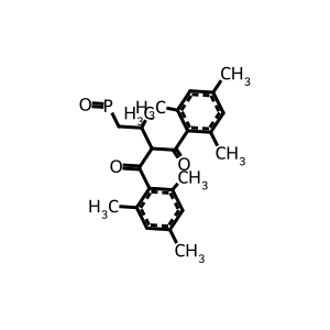 Cc1cc(C)c(C(=O)C(C(=O)c2c(C)cc(C)cc2C)C(C)CP=O)c(C)c1